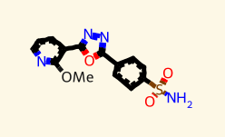 COc1ncccc1-c1nnc(-c2ccc(S(N)(=O)=O)cc2)o1